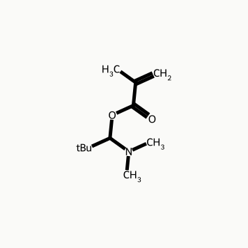 C=C(C)C(=O)OC(N(C)C)C(C)(C)C